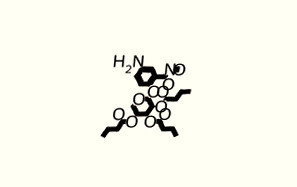 CCCC(=O)O[C@H]1[C@H](OC(=O)CCC)COC(Oc2ccc(N)cc2C(=O)N=O)[C@@H]1OC(=O)CCC